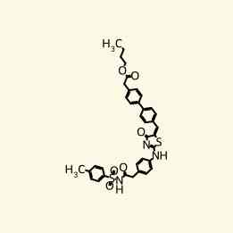 CCCCOC(=O)Cc1ccc(-c2ccc(C=C3SC(Nc4ccc(CC(=O)NS(=O)(=O)c5ccc(C)cc5)cc4)=NC3=O)cc2)cc1